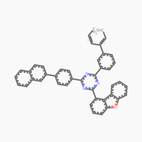 C/C=C\C(=C/C=O)c1cccc(-c2nc(-c3ccc(-c4ccc5ccccc5c4)cc3)nc(-c3cccc4oc5ccccc5c34)n2)c1